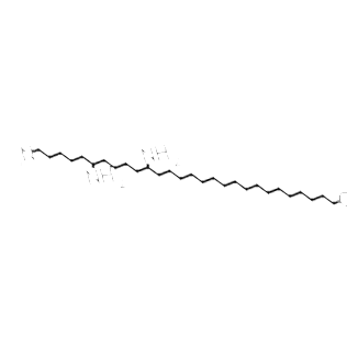 NCCCCCC(N)CCCCC(N)CCCCCCCCCCCCCCCCCC(=O)O